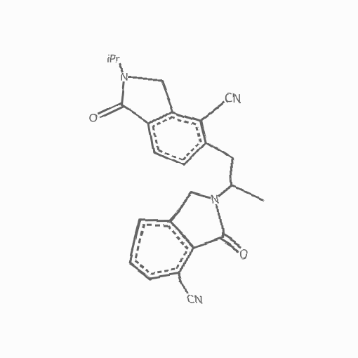 CC(C)N1Cc2c(ccc(CC(C)N3Cc4cccc(C#N)c4C3=O)c2C#N)C1=O